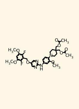 COc1cc(Nc2ncc(OCc3c(F)c(OC)cc(OC)c3F)cn2)ccc1N1CCC(COC(C)=O)(COC(C)=O)CC1